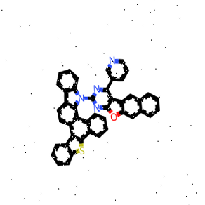 c1cncc(-c2nc(-n3c4ccccc4c4ccc5c6c7ccccc7sc6c6ccccc6c5c43)nc3oc4cc5ccccc5cc4c23)c1